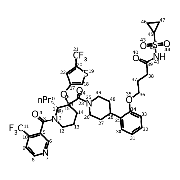 CCC[C@H]1N(C(=O)c2cnccc2C(F)(F)F)CCC[C@@]1(Oc1csc(C(F)(F)F)c1)C(=O)N1CCC(c2ccccc2OCCCC(=O)NS(=O)(=O)C2CC2)CC1